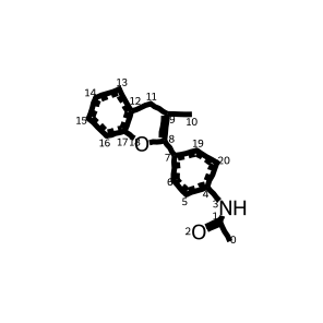 CC(=O)Nc1ccc(C2=C(C)Cc3ccccc3O2)cc1